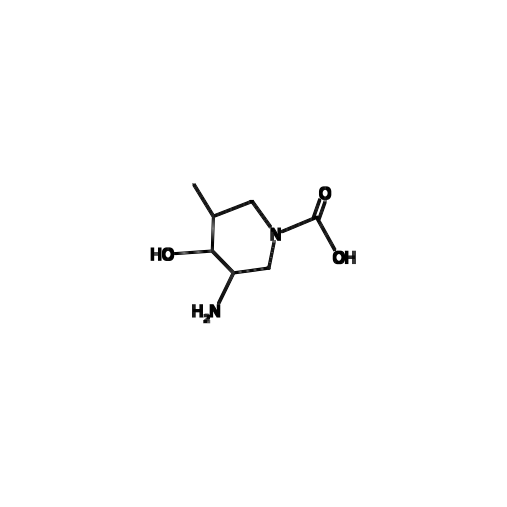 CC1CN(C(=O)O)CC(N)C1O